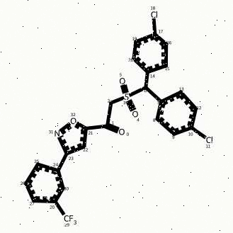 O=C(CS(=O)(=O)C(c1ccc(Cl)cc1)c1ccc(Cl)cc1)c1cc(-c2cccc(C(F)(F)F)c2)no1